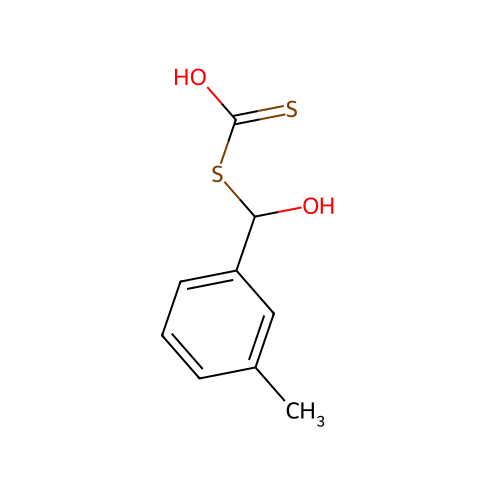 Cc1cccc(C(O)SC(O)=S)c1